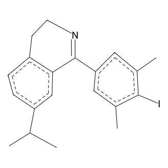 Cc1cc(C2=NCCc3ccc(C(C)C)cc32)cc(C)c1I